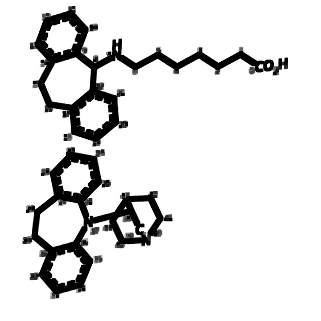 O=C(O)CCCCCCNC1c2ccccc2CCc2ccccc21.c1ccc2c(c1)CCc1ccccc1N2C1CN2CCC1CC2